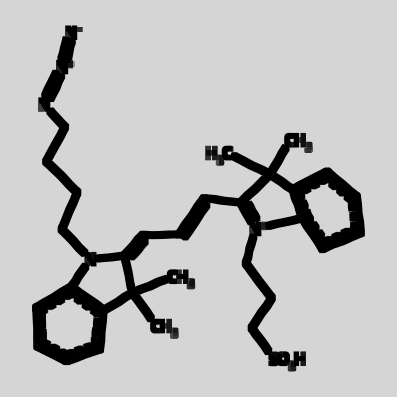 CC1(C)C(/C=C/C=C2/N(CCCCN=[N+]=[N-])c3ccccc3C2(C)C)=[N+](CCCS(=O)(=O)O)c2ccccc21